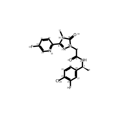 C[C@H](NC(=O)Cn1nc(-c2ccc(F)cn2)n(C)c1=O)c1ccc(Cl)c(F)c1